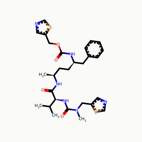 CC(C)[C@H](NC(=O)N(C)Cc1cncs1)C(=O)N[C@@H](C)CC[C@H](Cc1ccccc1)NC(=O)OCc1cncs1